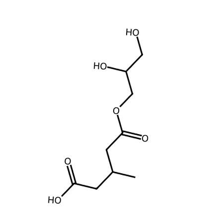 CC(CC(=O)O)CC(=O)OCC(O)CO